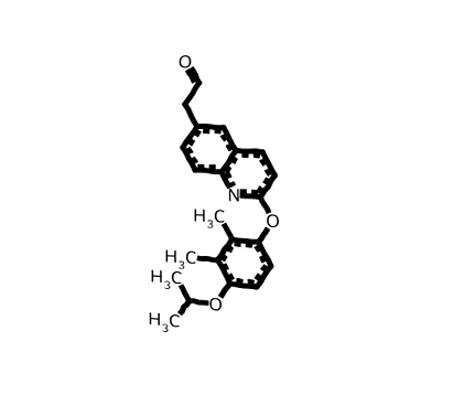 Cc1c(Oc2ccc3cc(CC=O)ccc3n2)ccc(OC(C)C)c1C